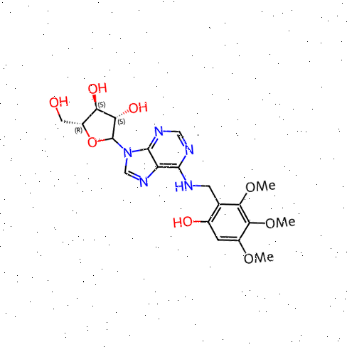 COc1cc(O)c(CNc2ncnc3c2ncn3C2O[C@H](CO)[C@@H](O)[C@@H]2O)c(OC)c1OC